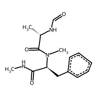 CNC(=O)[C@H](Cc1ccccc1)N(C)C(=O)[C@H](C)NC=O